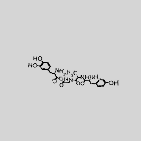 C[C@@H](NC(=O)[C@@H](N)Cc1ccc(O)cc1)C(=O)NCC(=O)OC(=O)[C@@H](N)Cc1ccc(O)c(O)c1